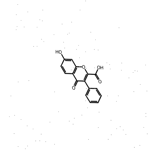 O=C(O)c1oc2cc(O)ccc2c(=O)c1-c1ccccc1